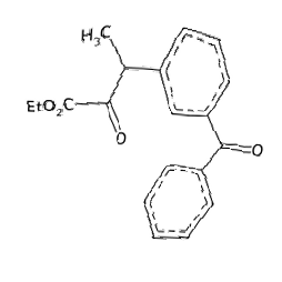 CCOC(=O)C(=O)C(C)c1cccc(C(=O)c2ccccc2)c1